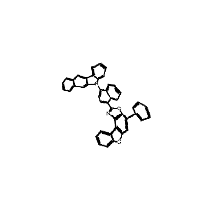 c1ccc(-c2cc3oc4ccccc4c3c3nc(-c4ccc(-n5c6ccccc6c6cc7ccccc7cc65)c5ccccc45)oc23)cc1